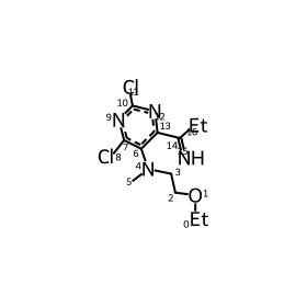 CCOCCN(C)c1c(Cl)nc(Cl)nc1C(=N)CC